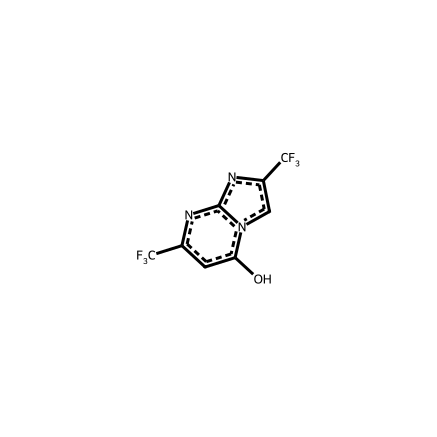 Oc1cc(C(F)(F)F)nc2nc(C(F)(F)F)cn12